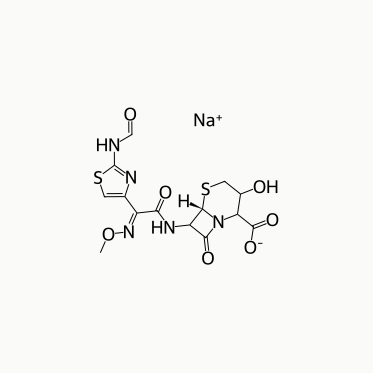 CON=C(C(=O)NC1C(=O)N2C(C(=O)[O-])C(O)CS[C@@H]12)c1csc(NC=O)n1.[Na+]